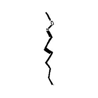 [CH2]CCCC=CC=NOC